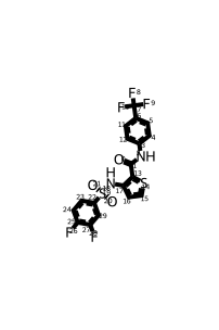 O=C(Nc1ccc(C(F)(F)F)cc1)c1sccc1NS(=O)(=O)c1ccc(F)c(F)c1